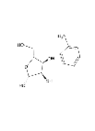 Nc1ccccc1.OC[C@H]1O[C@@H](O)[C@H](O)[C@@H]1O